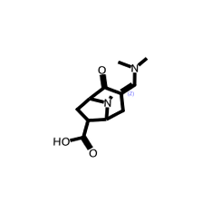 CN(C)/C=C1/CC2C(C(=O)O)CC(C1=O)N2C